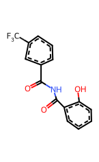 O=C(NC(=O)c1ccccc1O)c1cccc(C(F)(F)F)c1